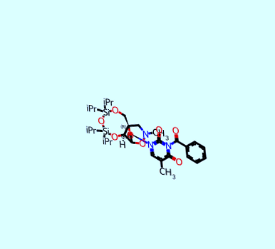 Cc1cn([C@@H]2O[C@]34CO[Si](C(C)C)(C(C)C)O[Si](C(C)C)(C(C)C)O[C@@H]3C2ON(C)C4)c(=O)n(C(=O)c2ccccc2)c1=O